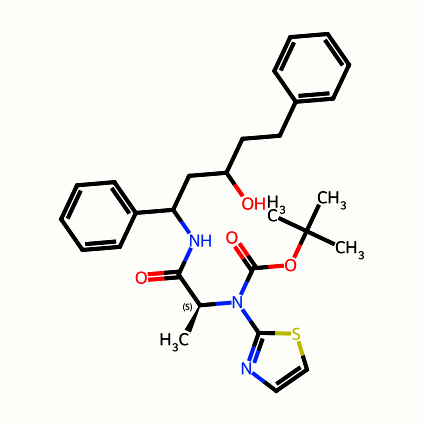 C[C@@H](C(=O)NC(CC(O)CCc1ccccc1)c1ccccc1)N(C(=O)OC(C)(C)C)c1nccs1